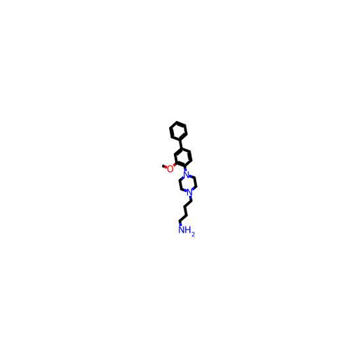 COc1cc(-c2ccccc2)ccc1N1CCN(CCCCN)CC1